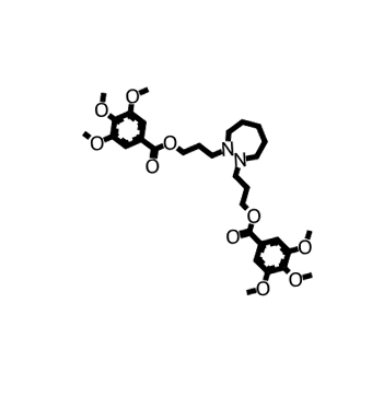 COc1cc(C(=O)OCCCN2CCCCCN2CCCOC(=O)c2cc(OC)c(OC)c(OC)c2)cc(OC)c1OC